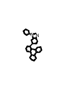 c1ccc(-n2cnc3ccc(-c4cccc5c6ccccc6c6ccccc6c45)cc32)cc1